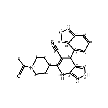 CC(=O)N1CCC(C2=C(C#N)C(c3cccc4nonc34)c3c[nH]nc3N2)CC1